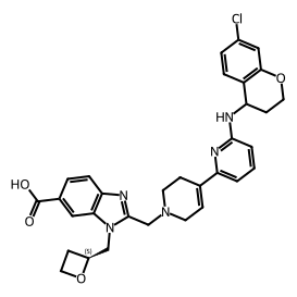 O=C(O)c1ccc2nc(CN3CC=C(c4cccc(NC5CCOc6cc(Cl)ccc65)n4)CC3)n(C[C@@H]3CCO3)c2c1